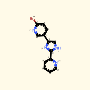 Brc1ccc(-c2c[nH]c(-c3ccccn3)n2)cn1